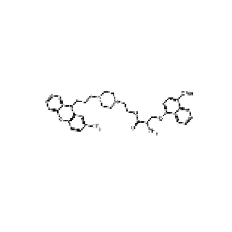 COc1ccc(OCC(C)C(=O)OCCN2CCN(CCCN3c4ccccc4Sc4ccc(C(F)(F)F)cc43)CC2)c2ccccc12